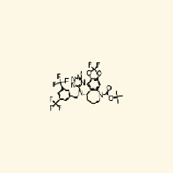 Cn1nnc(N(Cc2cc(C(F)(F)F)cc(C(F)(F)F)c2)[C@H]2CCCN(C(=O)OC(C)(C)C)c3cc4c(cc32)OC(F)(F)O4)n1